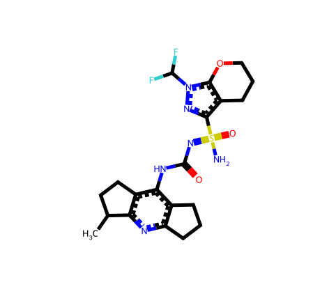 CC1CCc2c1nc1c(c2NC(=O)N=S(N)(=O)c2nn(C(F)F)c3c2CCCO3)CCC1